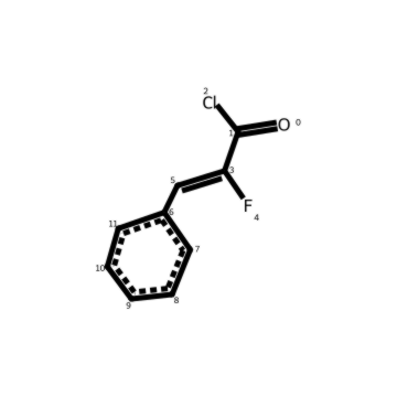 O=C(Cl)C(F)=Cc1ccccc1